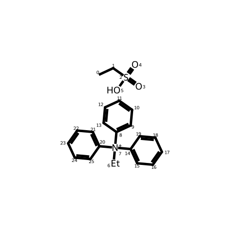 CCS(=O)(=O)O.CC[N+](c1ccccc1)(c1ccccc1)c1ccccc1